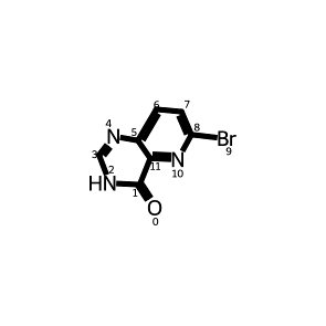 O=c1[nH]cnc2ccc(Br)nc12